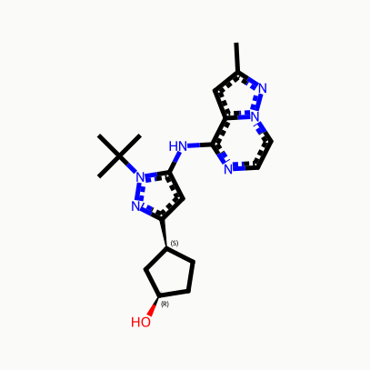 Cc1cc2c(Nc3cc([C@H]4CC[C@@H](O)C4)nn3C(C)(C)C)nccn2n1